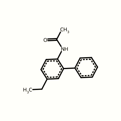 CCc1ccc(NC(C)=O)c(-c2ccccc2)c1